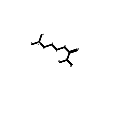 C=C(CCCCN(C)C)C(C)C